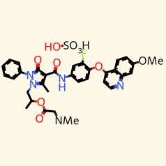 CNCC(=O)OC(C)Cn1c(C)c(C(=O)Nc2ccc(Oc3ccnc4cc(OC)ccc34)c(F)c2)c(=O)n1-c1ccccc1.O=S(=O)(O)O